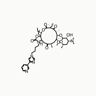 CC[C@H]1OC(=O)[C@@](C)(F)C(=O)[C@H](C)[C@@H](OC2O[C@H](C)C[C@H](N(C)C)[C@H]2O)[C@@](C)(OC)C[C@@H](C)C(=O)[C@H](C)[C@H]2N(CCCCn3cnc(-c4cccnc4)c3)C(=O)O[C@]12CC